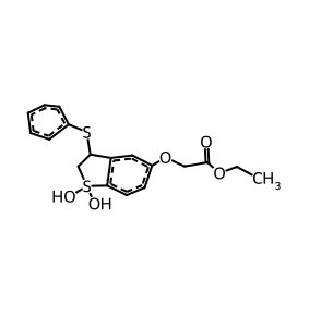 CCOC(=O)COc1ccc2c(c1)C(Sc1ccccc1)CS2(O)O